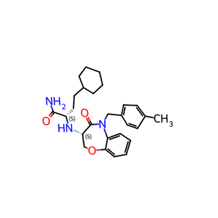 Cc1ccc(CN2C(=O)[C@@H](N[C@@H](CCC3CCCCC3)C(N)=O)COc3ccccc32)cc1